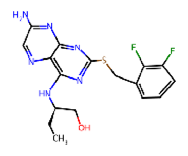 CC[C@H](CO)Nc1nc(SCc2cccc(F)c2F)nc2nc(N)cnc12